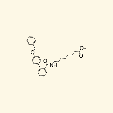 COC(=O)CCCCCCCNC(=O)c1ccccc1-c1ccc(OCc2ccccc2)cc1